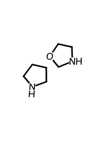 C1CCNC1.C1COCN1